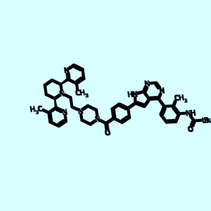 Cc1cccnc1[C@H]1CCC[C@@H](c2ncccc2C)N1CCN1CCN(C(=O)c2ccc(-c3cc4c(-c5cccc(NC(=O)C(C)(C)C)c5C)ncnc4[nH]3)cc2)CC1